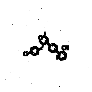 C[C@H]1CN(C2CCN(c3ncccc3C#N)CC2)[C@@H](Cc2ccc(Cl)cc2)CO1